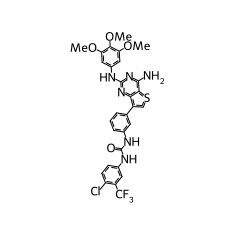 COc1cc(Nc2nc(N)c3scc(-c4cccc(NC(=O)Nc5ccc(Cl)c(C(F)(F)F)c5)c4)c3n2)cc(OC)c1OC